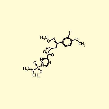 CO/N=C(\CNS(=O)(=O)c1ncn(S(=O)(=O)N(C)C)n1)c1ccc(OC)c(F)c1